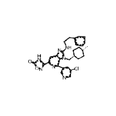 C[C@H]1CC[C@H](Cn2c(NCCc3ccccc3)nc3cc(-c4noc(=O)[nH]4)nc(-c4cncc(Cl)c4)c32)CC1